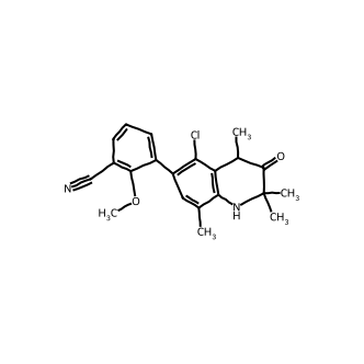 COc1c(C#N)cccc1-c1cc(C)c2c(c1Cl)C(C)C(=O)C(C)(C)N2